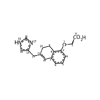 O=C(O)COc1cccc2c1CCC(Cc1c[nH]cn1)=C2